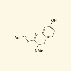 CNC(Cc1ccc(O)cc1)C(=O)/N=C/C(C)=O